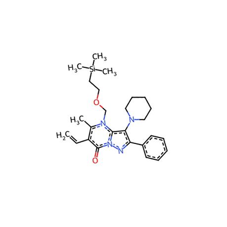 C=Cc1c(C)n(COCC[Si](C)(C)C)c2c(N3CCCCC3)c(-c3ccccc3)nn2c1=O